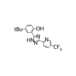 CC(C)(C)c1ccc(O)c(-c2nc(-c3ccc(C(F)(F)F)cn3)n[nH]2)c1